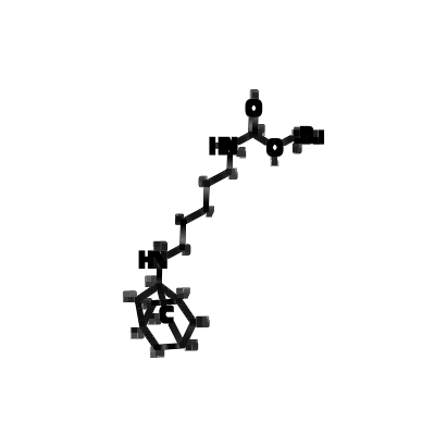 CC(C)(C)OC(=O)NCCCCCNC12CC3CC(CC1C3)C2